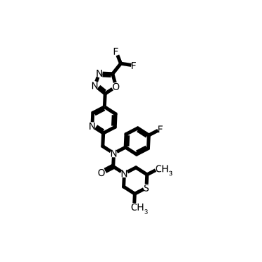 CC1CN(C(=O)N(Cc2ccc(-c3nnc(C(F)F)o3)cn2)c2ccc(F)cc2)CC(C)S1